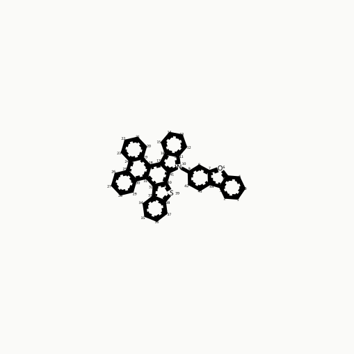 c1ccc2c(c1)oc1cc(-n3c4ccccc4c4c5c6ccccc6c6ccccc6c5c5c6ccccc6sc5c43)ccc12